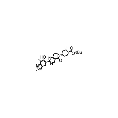 Cc1c(O)c(-c2ncc3c(=O)n([C@H]4CCN(C(=O)OC(C)(C)C)[C@@H](C)C4)ccc3n2)cc2cn(C)nc12